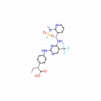 CCC(C(=O)O)c1ccc(Nc2ncc(C(F)(F)F)c(NCc3cccnc3N(C)S(C)(=O)=O)n2)cc1